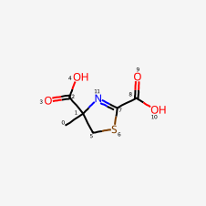 CC1(C(=O)O)CSC(C(=O)O)=N1